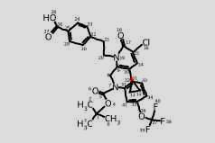 CC(C)(C)OC(=O)N(Cc1c(C2CC2)cc(Cl)c(=O)n1CCc1ccc(C(=O)O)cc1)c1cccc(OC(F)(F)F)c1